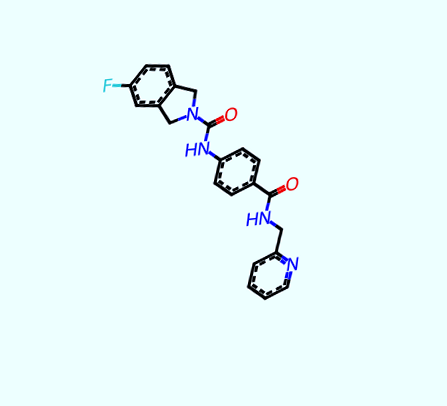 O=C(NCc1ccccn1)c1ccc(NC(=O)N2Cc3ccc(F)cc3C2)cc1